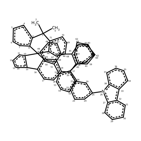 CC1(C)c2ccccc2C2(c3ccccc3-c3ccc(N(c4cccc(-n5c6ccccc6c6ccccc65)c4)c4ccccc4-c4ccccc4-c4ccccc4-c4ccccc4)cc32)c2ccccc21